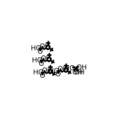 CC(C)(C)c1cc(CC(O)C(=O)O)cc(C(C)(C)C)c1.CC(C)(C)c1cc(CC(O)C(=O)O)cc(C(C)(C)C)c1.CC(C)(C)c1cc(CC(O)C(=O)O)cc(C(C)(C)C)c1.CC(C)(C)c1cc(CC(O)C(=O)O)cc(C(C)(C)C)c1.OCC(CO)(CO)CO